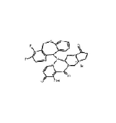 O=C1c2c(O)c(=O)ccn2N(C2c3ccccc3SCc3c2ccc(F)c3F)C2CN3C(=O)CC[C@H]3CN12